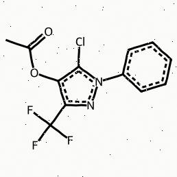 CC(=O)Oc1c(C(F)(F)F)nn(-c2ccccc2)c1Cl